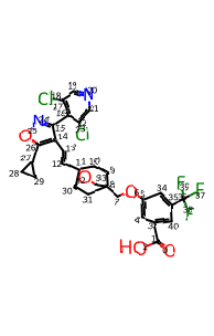 O=C(O)c1cc(OCC23CCC(/C=C/c4c(-c5c(Cl)cncc5Cl)noc4C4CC4)(CC2)OC3)cc(C(F)(F)F)c1